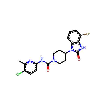 Cc1nc(NC(=O)N2CCC(n3c(=O)[nH]c4c(Br)cccc43)CC2)ccc1Cl